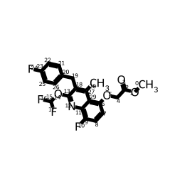 COC(=O)COc1ccc(F)c2nc(OC(F)F)c(Cc3ccc(F)cc3)c(C)c12